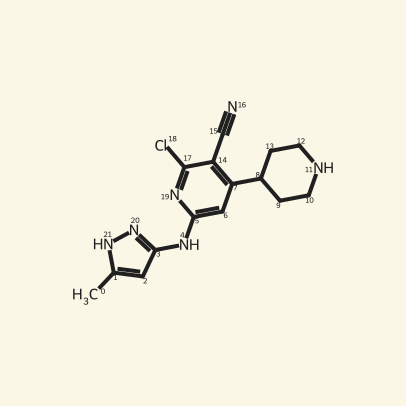 Cc1cc(Nc2cc(C3CCNCC3)c(C#N)c(Cl)n2)n[nH]1